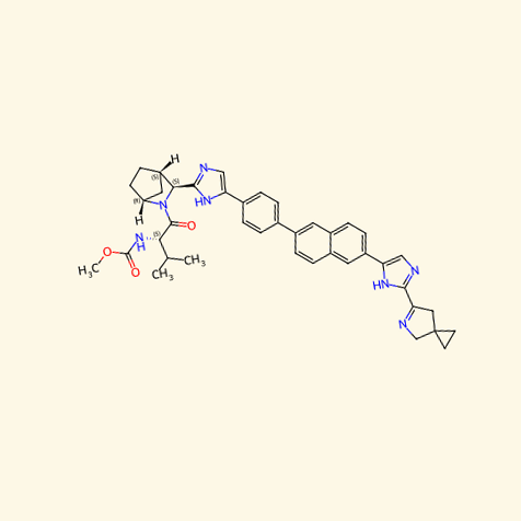 COC(=O)N[C@H](C(=O)N1[C@@H]2CC[C@@H](C2)[C@H]1c1ncc(-c2ccc(-c3ccc4cc(-c5cnc(C6=NCC7(CC7)C6)[nH]5)ccc4c3)cc2)[nH]1)C(C)C